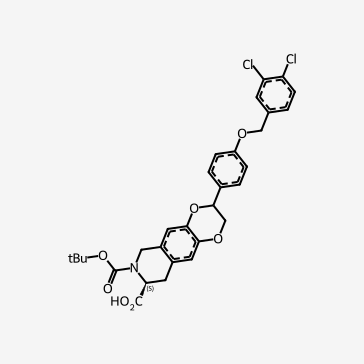 CC(C)(C)OC(=O)N1Cc2cc3c(cc2C[C@H]1C(=O)O)OCC(c1ccc(OCc2ccc(Cl)c(Cl)c2)cc1)O3